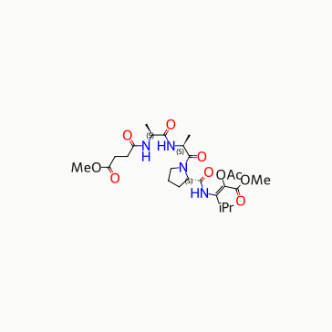 COC(=O)CCC(=O)N[C@@H](C)C(=O)N[C@@H](C)C(=O)N1CCC[C@H]1C(=O)NC(=C(OC(C)=O)C(=O)OC)C(C)C